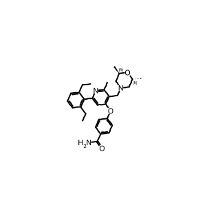 CCc1cccc(CC)c1-c1cc(Oc2ccc(C(N)=O)cc2)c(CN2C[C@@H](C)O[C@H](C)C2)c(C)n1